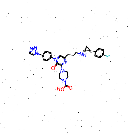 O=C(O)N1CCN(c2nc(CCCN[C@@H]3C[C@H]3c3ccc(F)cc3)cn(-c3ccc(-n4ccnn4)cc3)c2=O)CC1